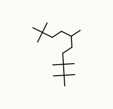 CC(CCC(C)(C)C)CCC(C)(C)C(C)(C)C